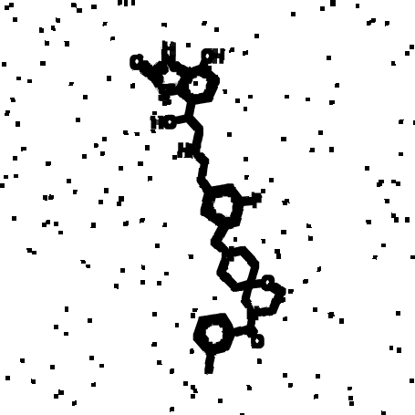 Cc1cccc(C(=O)N2CCOC3(CCN(Cc4cc(F)cc(CCNCC(O)c5ccc(O)c6[nH]c(=O)sc56)c4)CC3)C2)c1